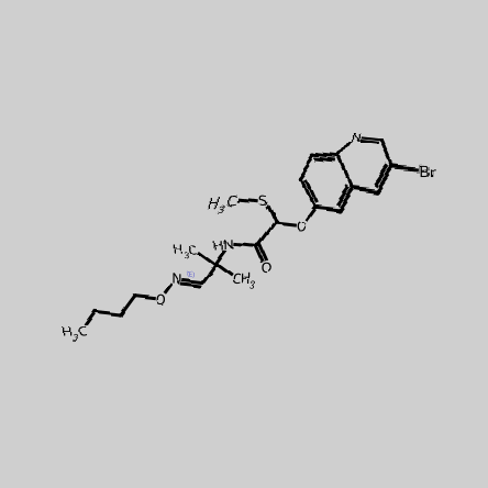 CCCCO/N=C/C(C)(C)NC(=O)C(Oc1ccc2ncc(Br)cc2c1)SC